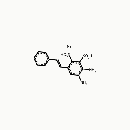 Nc1cc(C=Cc2ccccc2)c(S(=O)(=O)O)c(S(=O)(=O)O)c1N.[NaH]